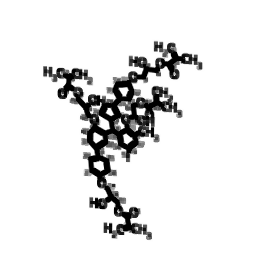 C=C(C)C(=O)OCC(O)COc1ccc(C2=CC(C(c3cc(-c4ccc(OCC(O)COC(=O)C(=C)C)cc4)ccc3OCC(O)COC(=O)C(=C)C)c3cc(I)cc(C)c3OC(O)COC(=O)C(=C)C)C=C2)cc1